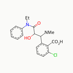 CCN(C(=O)C(O)C(NC)c1cccc(Cl)c1C(=O)O)c1ccccc1